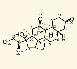 C[C@H]1C[C@H]2[C@@H]3CC[C@H]4CC(=O)CC[C@]4(C)[C@@]3(F)C(=O)C[C@]2(C)[C@@]1(O)C(=O)CCl